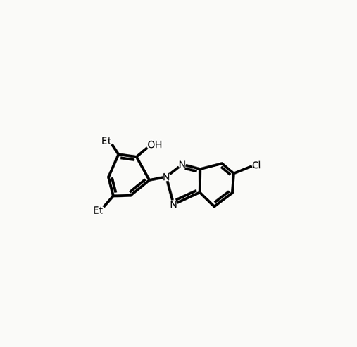 CCc1cc(CC)c(O)c(-n2nc3ccc(Cl)cc3n2)c1